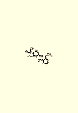 CCc1cnccc1C(=O)Nc1ccc2c(c1)CCC(=O)N2C